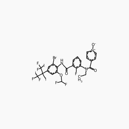 CCN(C(=O)c1cc[n+]([O-])cc1)c1cccc(C(=O)Nc2c(Br)cc(C(I)(C(F)(F)I)C(F)(F)I)cc2OC(F)F)c1F